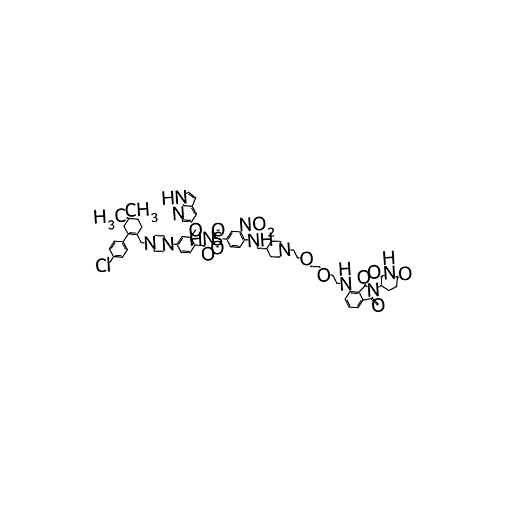 CC1(C)CCC(CN2CCN(c3ccc(C(=O)NS(=O)(=O)c4ccc(NCC5CCN(CCOCCOCCNc6cccc7c6C(=O)N(C6CCC(=O)NC6=O)C7=O)CC5)c([N+](=O)[O-])c4)c(Oc4cnc5[nH]ccc5c4)c3)CC2)=C(c2ccc(Cl)cc2)C1